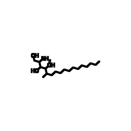 CCCCCCCCCCCCC(C)C(O)C(O)C(N)CO